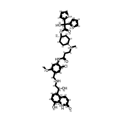 COc1cc(NC(=O)CCN(C)[C@H]2CC[C@](C)(OC(=O)C(O)(c3cccs3)c3cccs3)CC2)c(Cl)cc1CNC[C@H](O)c1ccc(O)c2[nH]c(=O)ccc12